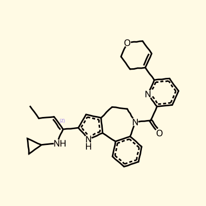 CC/C=C(\NC1CC1)c1cc2c([nH]1)-c1ccccc1N(C(=O)c1cccc(C3=CCOCC3)n1)CC2